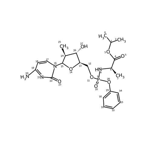 CC(C)OC(=O)[C@@H](C)NP(=O)(OC[C@H]1OC(n2ccc(N)nc2=O)[C@@H](C)[C@@H]1O)Oc1ccccc1